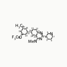 CNc1nc(-c2cccnc2)nc2ccc(-c3cc(C)cc(OC(F)(F)F)c3)cc12